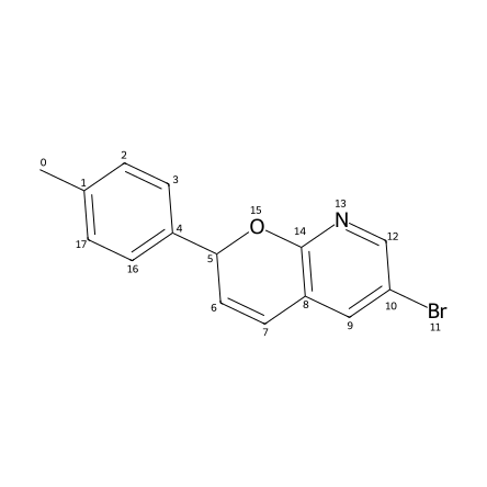 Cc1ccc(C2C=Cc3cc(Br)cnc3O2)cc1